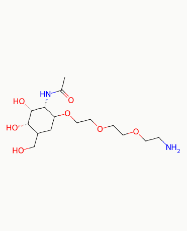 CC(=O)N[C@@H]1C(OCCOCCOCCN)CC(CO)[C@H](O)[C@@H]1O